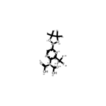 CC1(C)OB(c2cnc(N(C(=O)O)C(=O)O)c(C(F)(F)F)n2)OC1(C)C